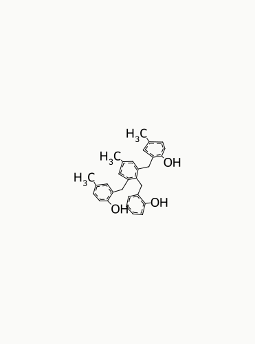 Cc1ccc(O)c(Cc2cc(C)cc(Cc3cc(C)ccc3O)c2Cc2ccccc2O)c1